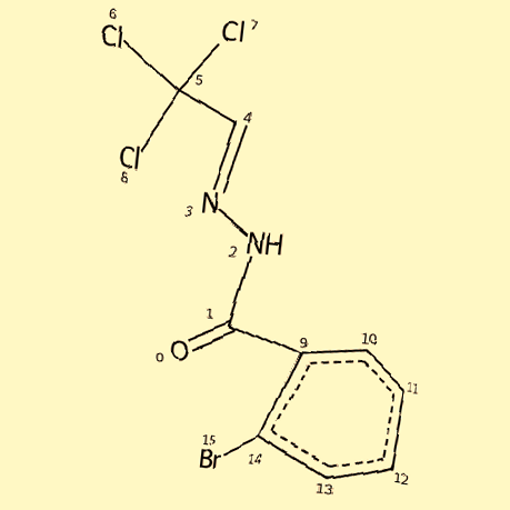 O=C(NN=CC(Cl)(Cl)Cl)c1ccccc1Br